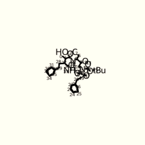 CC(C(=O)NC(CC(=O)O)C(=O)CN(C(=O)OC(C)(C)C)S(=O)(=O)CCc1ccccc1)C(CCc1ccccc1)C(N)=O